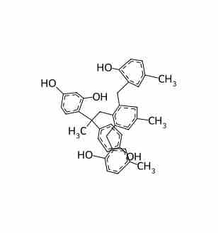 Cc1ccc(O)c(Cc2cc(C)cc(Cc3cc(C)ccc3O)c2CC(C)(c2ccc(O)cc2)c2ccc(O)cc2O)c1